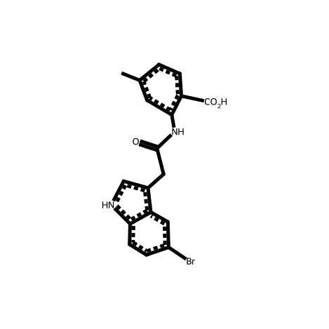 Cc1ccc(C(=O)O)c(NC(=O)Cc2c[nH]c3ccc(Br)cc23)c1